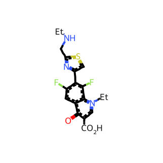 CCNCc1nc(-c2c(F)cc3c(=O)c(C(=O)O)cn(CC)c3c2F)cs1